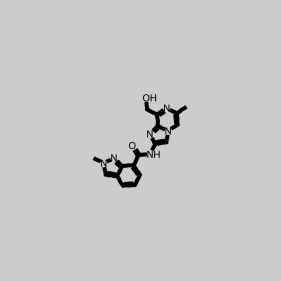 Cc1cn2cc(NC(=O)c3cccc4cn(C)nc34)nc2c(CO)n1